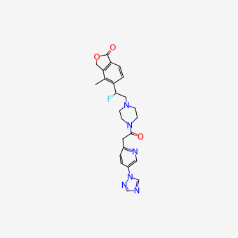 Cc1c(C(F)CN2CCN(C(=O)Cc3ccc(-n4cncn4)cn3)CC2)ccc2c1COC2=O